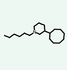 CCCCCCN1CCCC(C2CCCCCCC2)C1